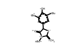 C=C1SC(c2cc(C(C)(C)C)c(O)c(C(C)(C)C)c2)C(=O)N1CCCC